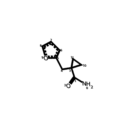 NC(=O)C1(Cc2ccco2)CC1